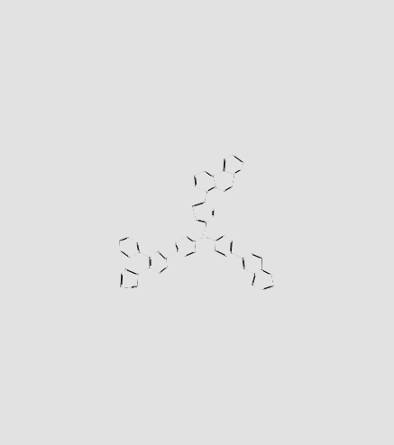 c1ccc(-c2ccc(-c3ccc(N(c4ccc(-c5ccc6ccccc6c5)cc4)c4ccc(-c5cccc6c5ccc5ccccc56)cc4)cc3)cc2-c2ccccc2)cc1